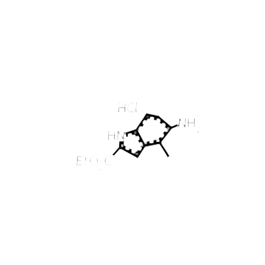 CCOC(=O)c1cc2c(C)c(N)ccc2[nH]1.Cl